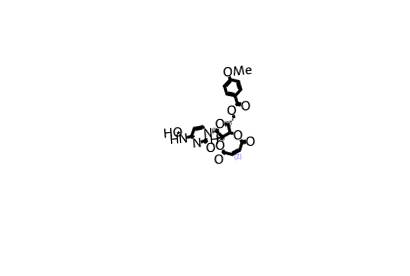 COc1ccc(C(=O)OC[C@H]2O[C@@H](n3ccc(NO)nc3=O)[C@H]3OC(=O)/C=C\C(=O)OC23)cc1